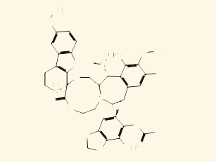 COc1ccc2oc3c(c2c1)CCN[C@]31SC[C@H]2[C@@H](N(C)C)c3c(cc(C)c(OC)c3O)C[C@H](O)N2[C@H](c2c(C)c(OC(C)=O)c(C)c3c2OCO3)COC1=O